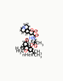 CCCCCCC(C)(C)c1cc(OC(=O)C(C)(C)CNC(=O)C2Cc3cc4c5c(c3OC2=O)CCCN5CCC4)c2c(c1)OC(C)(C)[C@@H]1CCC(=O)C[C@@H]21